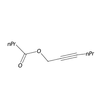 CCCC#CCOC(=O)CCC